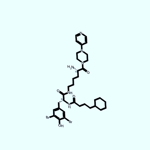 N[C@@H](CCCCNC(=O)[C@@H](Cc1cc(Br)c(O)c(Br)c1)NC(=O)CCCC1CCCCC1)C(=O)N1CCN(c2ccncc2)CC1